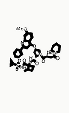 C=C1CCC1(NC(=O)[C@@H]1C[C@@H](Oc2cc(-c3ccccc3)nc3cc(OC)ccc23)CN1C(=O)[C@@H](CC(=O)N1CCCCC1)C(C)(C)C)C(=O)NS(=O)(=O)C1CC1